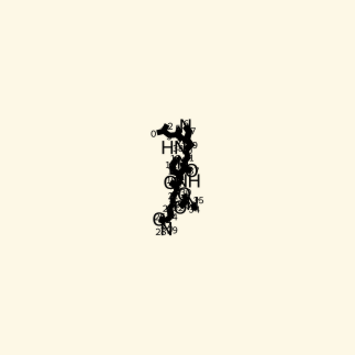 CC(C)Cc1cncc2cc(Cn3cccc(NC(=O)C(CCC=CC(=O)N(C)C)OC(=O)N(C)C)c3=O)[nH]c12